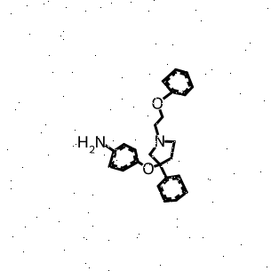 Nc1ccc(OC2(c3ccccc3)CCN(CCOc3ccccc3)C2)cc1